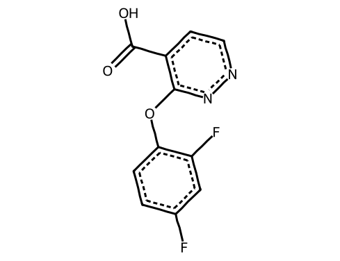 O=C(O)c1ccnnc1Oc1ccc(F)cc1F